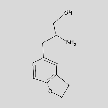 NC(CO)Cc1ccc2c(c1)CCO2